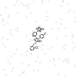 Fc1ccc(-c2[nH]c(CCc3ccccc3Cl)nc2-c2cc(-c3nn[nH]n3)ccn2)cc1